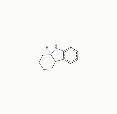 c1ccc2c(c1)N[C@@H]1CCCCC21